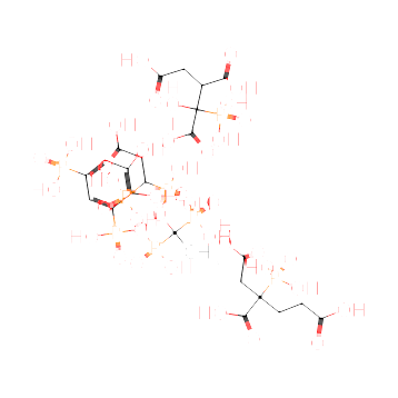 CC(OP(=O)(O)C(CC(=O)O)P(=O)(O)O)(P(=O)(O)O)P(=O)(O)OP(=O)(O)c1cc(P(=O)(O)O)cc(O)c1O.O=C(O)CC(C(=O)O)C(O)(C(=O)O)P(=O)(O)O.O=C(O)CCC(CC(=O)O)(C(=O)O)P(=O)(O)O